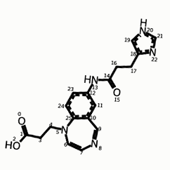 O=C(O)CCN1C=CN=Cc2cc(NC(=O)CCc3c[nH]cn3)ccc21